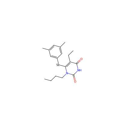 CCCCn1c([Se]c2cc(C)cc(C)c2)c(CC)c(=O)[nH]c1=O